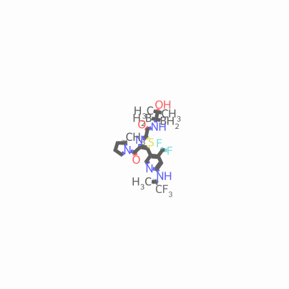 BC(B)(NC(=O)c1nc(C(=O)N2CCC[C@@H]2C)c(-c2cnc(N[C@@H](C)C(F)(F)F)cc2C(F)F)s1)C(C)(C)O